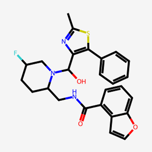 Cc1nc(C(O)N2CC(F)CCC2CNC(=O)c2cccc3occc23)c(-c2ccccc2)s1